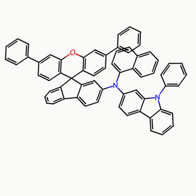 c1ccc(-c2ccc3c(c2)Oc2cc(-c4ccccc4)ccc2C32c3ccccc3-c3ccc(N(c4ccc5c6ccccc6n(-c6ccccc6)c5c4)c4cccc5ccccc45)cc32)cc1